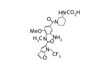 COc1cc(C(=O)N2CCCC(NC(=O)O)C2)cc(N)c1N(C)C(=O)c1cc2ccoc2n1CC(F)(F)F